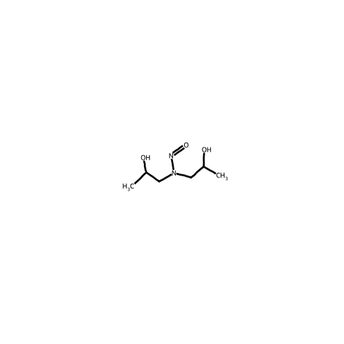 CC(O)CN(CC(C)O)N=O